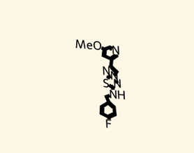 COc1cncc(-c2cn3nc(NCc4ccc(F)cc4)sc3n2)c1